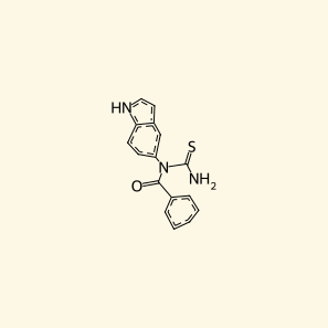 NC(=S)N(C(=O)c1ccccc1)c1ccc2[nH]ccc2c1